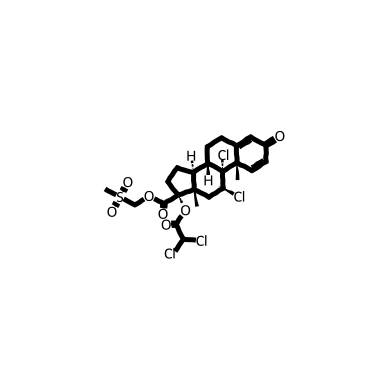 C[C@]12C=CC(=O)C=C1CC[C@H]1[C@@H]3CC[C@](OC(=O)C(Cl)Cl)(C(=O)OCS(C)(=O)=O)[C@@]3(C)C[C@H](Cl)[C@@]12Cl